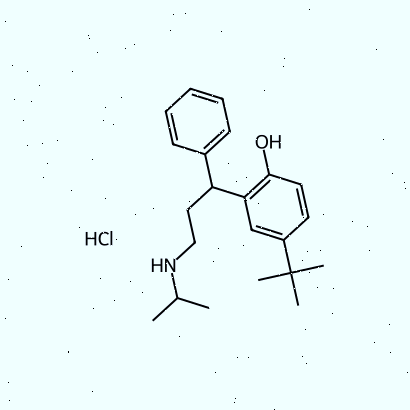 CC(C)NCCC(c1ccccc1)c1cc(C(C)(C)C)ccc1O.Cl